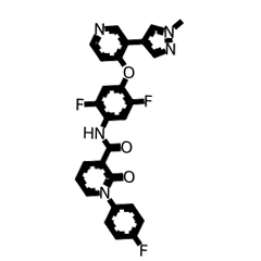 Cn1cc(-c2cnccc2Oc2cc(F)c(NC(=O)c3cccn(-c4ccc(F)cc4)c3=O)cc2F)cn1